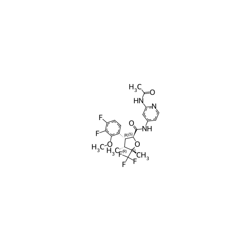 COc1c([C@@H]2[C@@H](C(=O)Nc3ccnc(NC(C)=O)c3)O[C@](C)(C(F)(F)F)[C@@H]2C)ccc(F)c1F